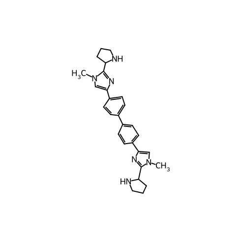 Cn1cc(-c2ccc(-c3ccc(-c4cn(C)c(C5CCCN5)n4)cc3)cc2)nc1C1CCCN1